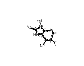 CCn1c(=O)[nH]c2c(Cl)c(Cl)ccc21